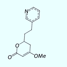 COC1=CC(=O)OC(CCc2cccnc2)C1